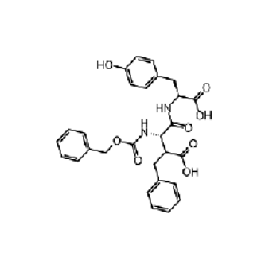 O=C(N[C@H](C(=O)N[C@@H](Cc1ccc(O)cc1)C(=O)O)C(Cc1ccccc1)C(=O)O)OCc1ccccc1